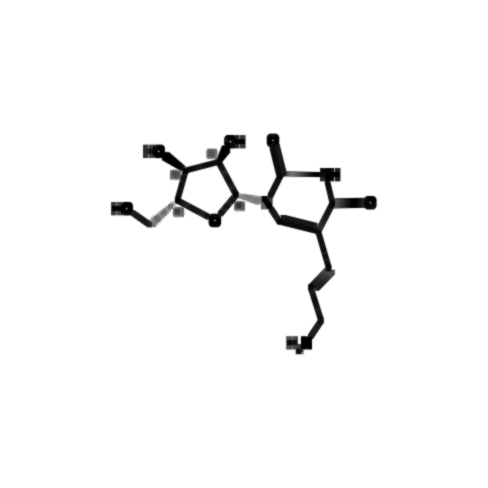 NCC=Cc1cn([C@@H]2O[C@H](CO)[C@@H](O)[C@H]2O)c(=O)[nH]c1=O